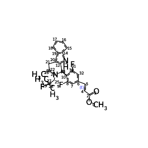 COC(=O)/C=C/c1cc(F)c([C@@H]2c3[nH]c4ccccc4c3C[C@@H](C)N2CC(C)(C)F)c(F)c1